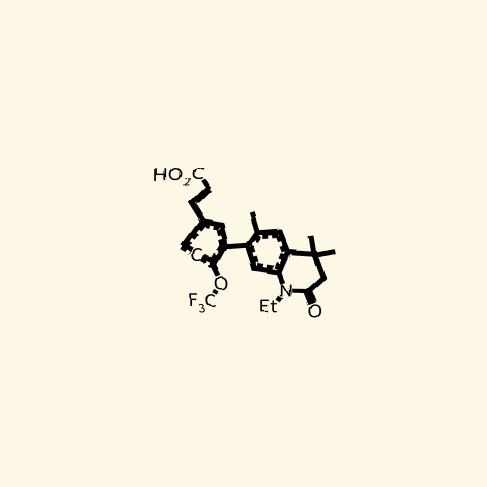 CCN1C(=O)CC(C)(C)c2cc(C)c(-c3cc(C=CC(=O)O)ccc3OC(F)(F)F)cc21